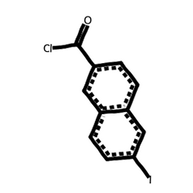 O=C(Cl)c1ccc2cc(I)ccc2c1